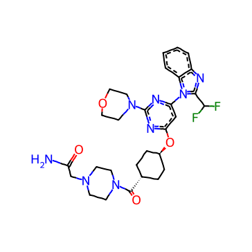 NC(=O)CN1CCN(C(=O)[C@H]2CC[C@H](Oc3cc(-n4c(C(F)F)nc5ccccc54)nc(N4CCOCC4)n3)CC2)CC1